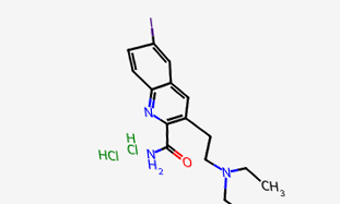 CCN(CC)CCc1cc2cc(I)ccc2nc1C(N)=O.Cl.Cl